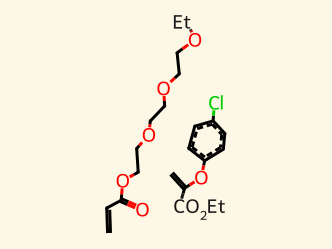 C=C(Oc1ccc(Cl)cc1)C(=O)OCC.C=CC(=O)OCCOCCOCCOCC